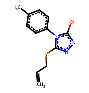 C=CCSc1nnc(O)n1-c1ccc(C)cc1